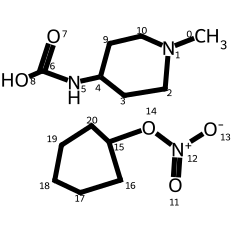 CN1CCC(NC(=O)O)CC1.O=[N+]([O-])OC1CCCCC1